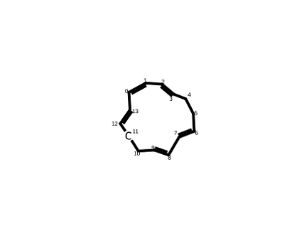 C1=C\C=C\CC/C=C/C=C/CC/C=C/1